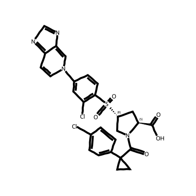 O=C(O)[C@@H]1C[C@@H](S(=O)(=O)c2ccc(-n3ccc4ncnc-4c3)cc2Cl)CN1C(=O)C1(c2ccc(Cl)cc2)CC1